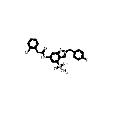 C[S@@](=N)(=O)c1cc(NC(=O)Cc2ccccc2Cl)cc2nn(Cc3ccc(F)cc3)cc12